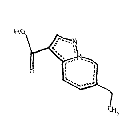 CCc1ccc2c(C(=O)O)cnn2c1